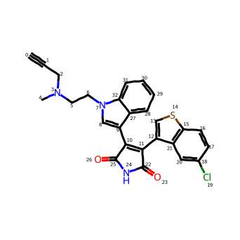 C#CCN(C)CCn1cc(C2=C(c3csc4ccc(Cl)cc34)C(=O)NC2=O)c2ccccc21